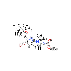 CC(C)C(C)(C)[Si](C)(C)OCc1nc2c(cc1Br)C[C@@H]1CN(C(=O)OC(C)(C)C)C[C@@H](C)N21